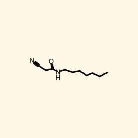 CCCCCCCNC(=O)CC#N